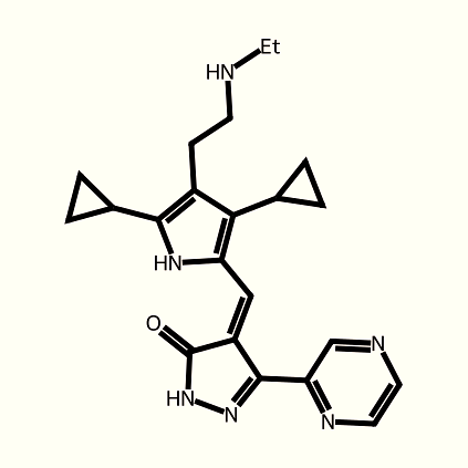 CCNCCc1c(C2CC2)[nH]c(C=C2C(=O)NN=C2c2cnccn2)c1C1CC1